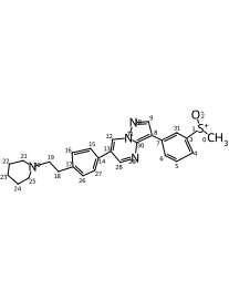 C[S+]([O-])c1cccc(-c2cnn3cc(-c4ccc(CCN5CCCCC5)cc4)cnc23)c1